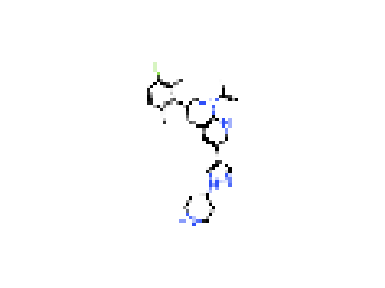 C=C(C)Nc1ncc(-c2cnn(C3CCNCC3)c2)cc1CC(C)c1c(C)ccc(F)c1C